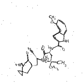 COc1cccc2[nH]c(C(=O)N[C@@H](CS(C)(C)C)C(=O)N[C@H](C#N)C[C@@H]3CC4(CC4)NC3=O)cc12